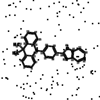 CC1(C)c2ccccc2N(c2ccc(-c3nc4cnccc4o3)cc2)c2ccccc21